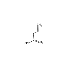 C=CCC(=C)CCC